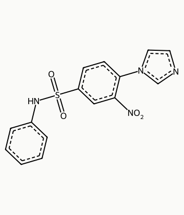 O=[N+]([O-])c1cc(S(=O)(=O)Nc2ccccc2)ccc1-n1ccnc1